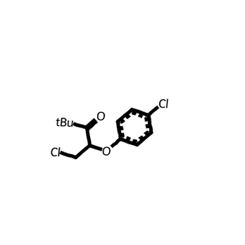 CC(C)(C)C(=O)C(CCl)Oc1ccc(Cl)cc1